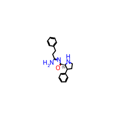 NC(CCc1ccccc1)=NC(=O)[C@H]1NCCC1c1ccccc1